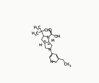 CCc1cncc(N2C[C@H]3CC(C(C)(C)C)N(C(=O)O)[C@H]3C2)c1